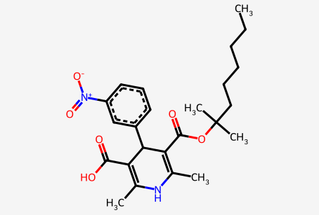 CCCCCCC(C)(C)OC(=O)C1=C(C)NC(C)=C(C(=O)O)C1c1cccc([N+](=O)[O-])c1